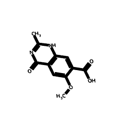 COc1cc2c(=O)nc(C)[nH]c2cc1C(=O)O